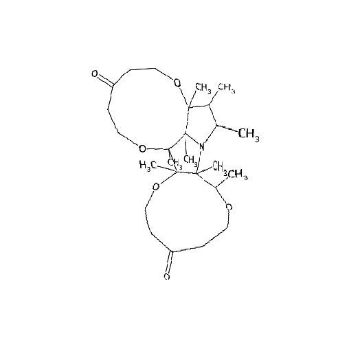 CC1C(C)C2(C)OCCC(=O)CCOC3(C)C4(C)OCCC(=O)CCOC(C)C4(C)N1C23C